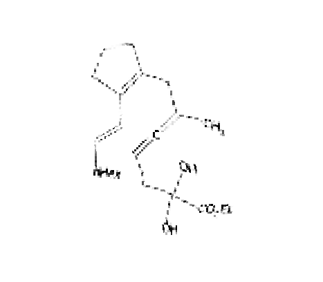 CCCCCC/C=C/C1=C(CC(C)=C=CCC(O)(O)C(=O)OCC)CCC1